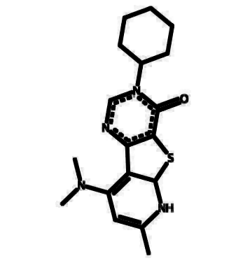 CC1=CC(N(C)C)=C2c3ncn(C4CCCCC4)c(=O)c3SC2N1